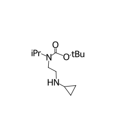 CC(C)N(CCNC1CC1)C(=O)OC(C)(C)C